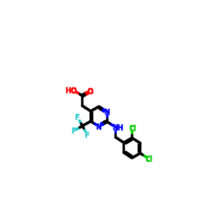 O=C(O)Cc1cnc(NCc2ccc(Cl)cc2Cl)nc1C(F)(F)F